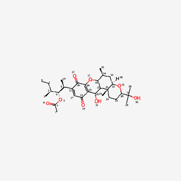 CC[C@H](C)[C@@H](OC(C)=O)[C@@H](C)C1=CC(=O)C2=C(OC3C(C2O)[C@@]2(C)CCC(C(C)(C)O)O[C@@H]2C[C@@H]3C)C1=O